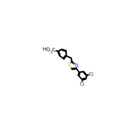 O=C(O)c1ccc(Cc2nc(-c3cc(Cl)cc(Cl)c3)cs2)cc1